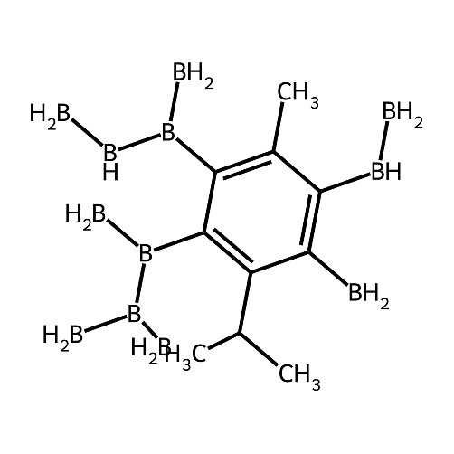 BBB(B)c1c(C)c(BB)c(B)c(C(C)C)c1B(B)B(B)B